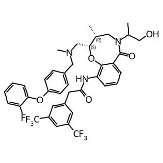 CC(CO)N1C[C@@H](C)[C@@H](CN(C)Cc2ccc(Oc3ccccc3F)cc2)Oc2c(NC(=O)Cc3cc(C(F)(F)F)cc(C(F)(F)F)c3)cccc2C1=O